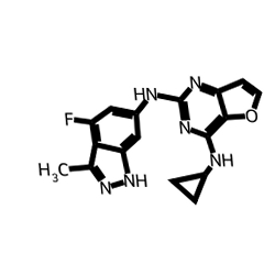 Cc1n[nH]c2cc(Nc3nc(NC4CC4)c4occc4n3)cc(F)c12